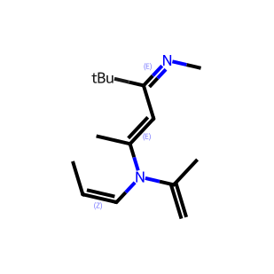 C=C(C)N(/C=C\C)/C(C)=C/C(=N\C)C(C)(C)C